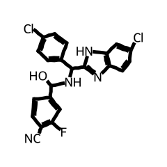 N#Cc1ccc(C(O)NC(c2ccc(Cl)cc2)c2nc3ccc(Cl)cc3[nH]2)cc1F